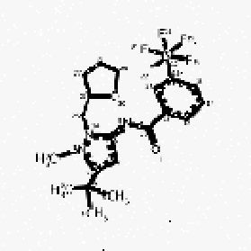 Cn1c(C(C)(C)C)c/c(=N\C(=O)c2cccc(S(F)(F)(F)(F)F)c2)n1C[C@H]1CCCO1